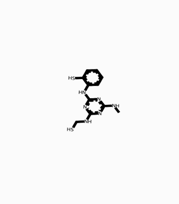 CNc1nc(NCS)nc(Nc2ccccc2S)n1